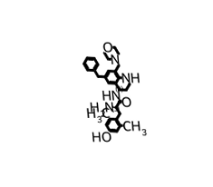 Cc1cc(O)cc(C)c1C[C@H](N)C(=O)N[C@@H]1CCNc2c(CN3CCOCC3)cc(Cc3ccccc3)cc21